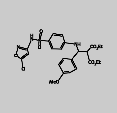 CCOC(=O)C(C(=O)OCC)C(Nc1ccc(S(=O)(=O)Nc2cc(Cl)on2)cc1)c1ccc(OC)cc1